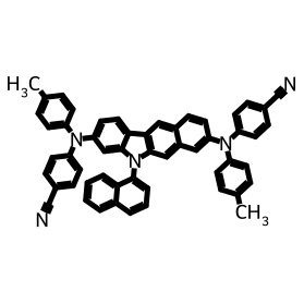 Cc1ccc(N(c2ccc(C#N)cc2)c2ccc3cc4c5ccc(N(c6ccc(C)cc6)c6ccc(C#N)cc6)cc5n(-c5cccc6ccccc56)c4cc3c2)cc1